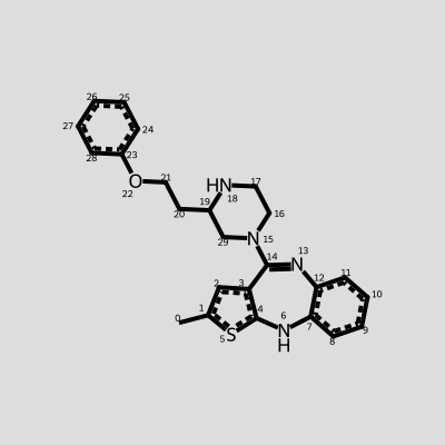 Cc1cc2c(s1)Nc1ccccc1N=C2N1CCNC(CCOc2ccccc2)C1